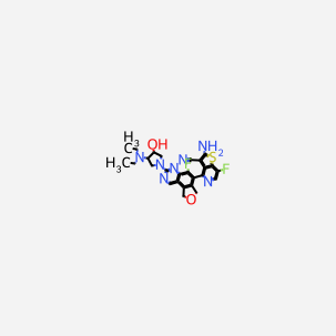 CCN(CC)C1CN(c2ncc3c4c(c(-c5ncc(F)c6sc(N)c(C#N)c56)c(F)c3n2)COC4)CC1O